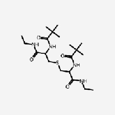 CCNC(=O)C(CSCC(NC(=O)C(C)(C)C)C(=O)NCC)NC(=O)C(C)(C)C